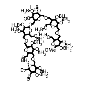 BOCC1OC(COCC2C(COB)OC(OCC3OC(COCC4C(COB)OC(COCC5C(COB)OC(OC)C(OB)C5OB)C(OB)C4OB)C(OB)C(OB)C3B=O)C(OB)C2OB)C(OB)C(OB)C1COCC1OC(CC)C(B=O)C(OB)C1OB